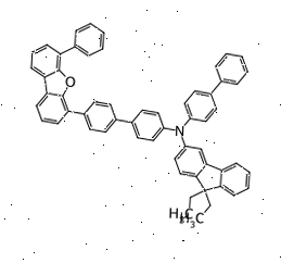 CCC1(CC)c2ccccc2-c2cc(N(c3ccc(-c4ccccc4)cc3)c3ccc(-c4ccc(-c5cccc6c5oc5c(-c7ccccc7)cccc56)cc4)cc3)ccc21